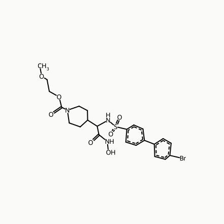 COCCOC(=O)N1CCC(C(NS(=O)(=O)c2ccc(-c3ccc(Br)cc3)cc2)C(=O)NO)CC1